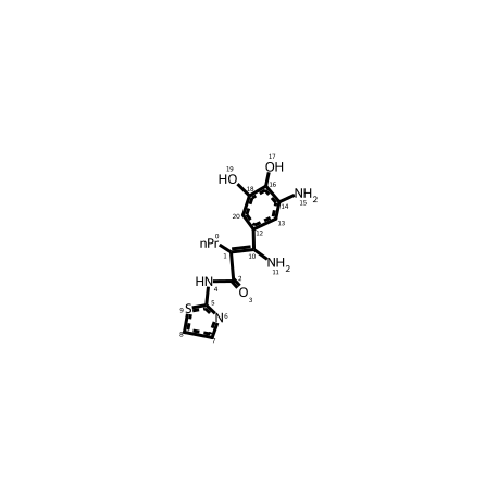 CCC/C(C(=O)Nc1nccs1)=C(/N)c1cc(N)c(O)c(O)c1